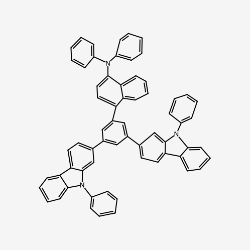 c1ccc(N(c2ccccc2)c2ccc(-c3cc(-c4ccc5c6ccccc6n(-c6ccccc6)c5c4)cc(-c4ccc5c6ccccc6n(-c6ccccc6)c5c4)c3)c3ccccc23)cc1